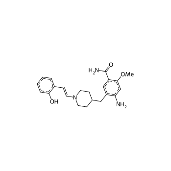 COc1cc(N)c(CC2CCN(C=Cc3ccccc3O)CC2)cc1C(N)=O